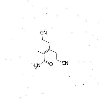 CC(C(N)=O)=C(CCC#N)CCC#N